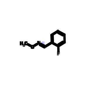 CO/N=C/c1c[c]ccc1F